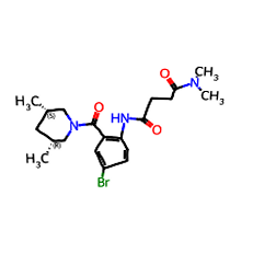 C[C@@H]1C[C@H](C)CN(C(=O)c2cc(Br)ccc2NC(=O)CCC(=O)N(C)C)C1